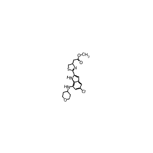 COC(=O)CC1CSC(c2cc3cc(Cl)cc(NC4CCOCC4)c3[nH]2)=N1